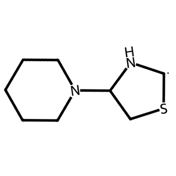 [CH]1NC(N2CCCCC2)CS1